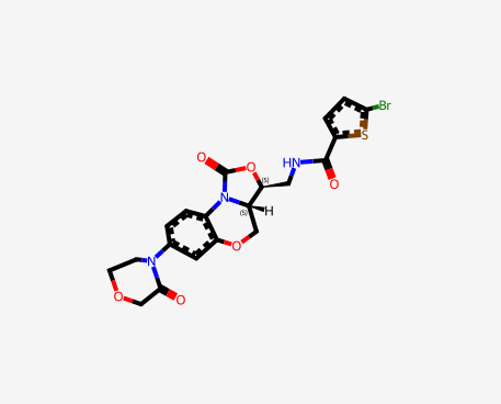 O=C(NC[C@@H]1OC(=O)N2c3ccc(N4CCOCC4=O)cc3OC[C@@H]12)c1ccc(Br)s1